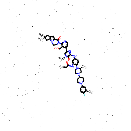 C=CC(=O)Nc1cc(Nc2nc(-c3ccnc(N4CCn5c(cc6c5CC(C)(C)C6)C4=O)c3CO)cn(C)c2=O)ccc1N1CCN(C2CCN(c3ccc(F)c(C(F)(F)F)c3)CC2)C[C@@H]1C